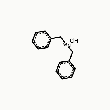 Cl.c1ccc([CH2][Mg][CH2]c2ccccc2)cc1